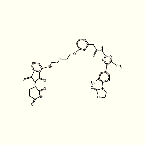 Cc1cc(-c2nc(NC(=O)Cc3cccc(OCCOCCNc4cccc5c4C(=O)N(C4CCC(=O)NC4=O)C5=O)c3)sc2C)ccc1N1CCOC1=O